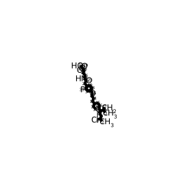 C=C(C)/C(=N\CC(C)Cl)N1CCC(CCCOc2ccc(CC(=O)NCCCS(=O)(=O)O)c(F)c2)CC1